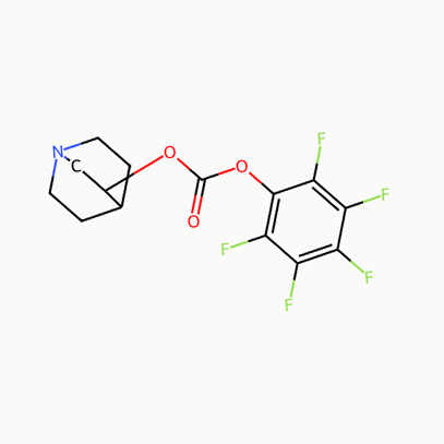 O=C(Oc1c(F)c(F)c(F)c(F)c1F)OC1CN2CCC1CC2